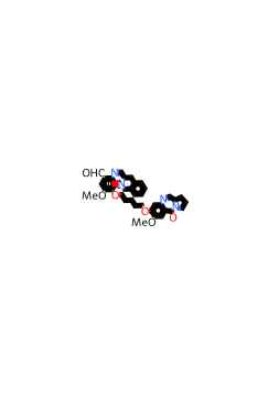 COc1cc2c(cc1OCCCCCOc1cc(/N=C\C3Cc4ccccc4CN3C)c(C=O)cc1OC)N=CC1CCCN1C2=O